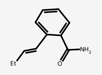 CC/C=C/c1ccccc1C(N)=O